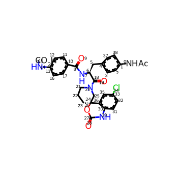 CC(=O)Nc1ccc(C[C@H](NC(=O)c2ccc(NC(=O)O)cc2)C(=O)N2CCC[C@@]3(C2)OC(=O)Nc2ccc(Cl)cc23)cc1